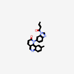 C/C=C/C(=O)n1cnc2ccc(-n3c(=O)ccc4cnc5ccc(C)cc5c43)cc21